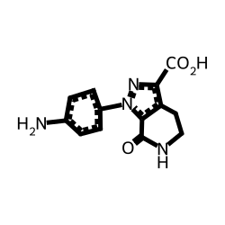 Nc1ccc(-n2nc(C(=O)O)c3c2C(=O)NCC3)cc1